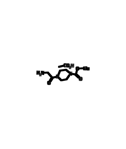 CC(=O)O.CC(C)(C)OC(=O)N1CCN(C(=O)CN)CC1